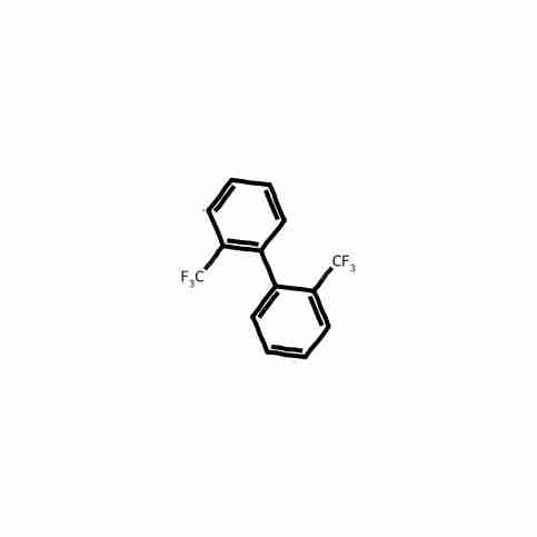 FC(F)(F)c1[c]cccc1-c1ccccc1C(F)(F)F